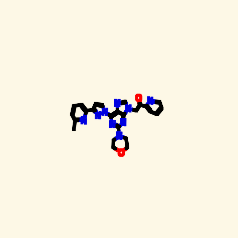 Cc1cccc(-c2ccn(-c3nc(N4CCOCC4)nc4c3ncn4CC(=O)c3ccccn3)n2)n1